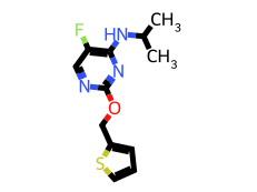 CC(C)Nc1nc(OCc2cccs2)ncc1F